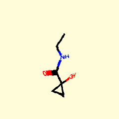 CCNC(=O)C1(O)CC1